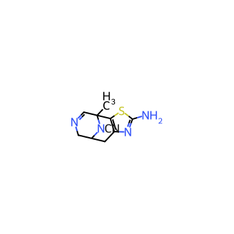 CC12C=NCC(Cc3nc(N)sc31)N2C#N